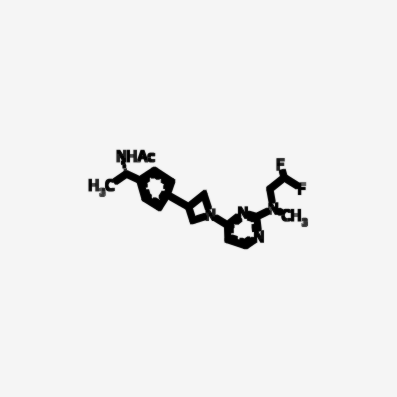 CC(=O)N[C@@H](C)c1ccc(C2CN(c3ccnc(N(C)CC(F)F)n3)C2)cc1